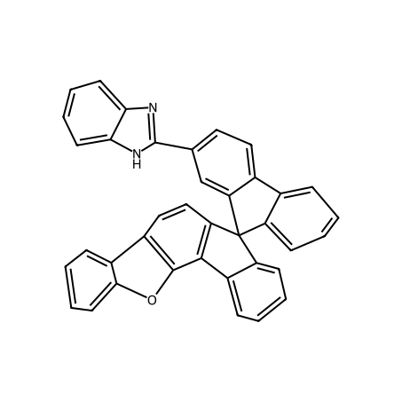 c1ccc2c(c1)-c1ccc(-c3nc4ccccc4[nH]3)cc1C21c2ccccc2-c2c1ccc1c2oc2ccccc21